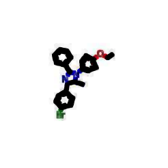 CCOc1ccc(N2C(C)C(c3ccc(Br)cc3)=NC2c2ccccc2)cc1